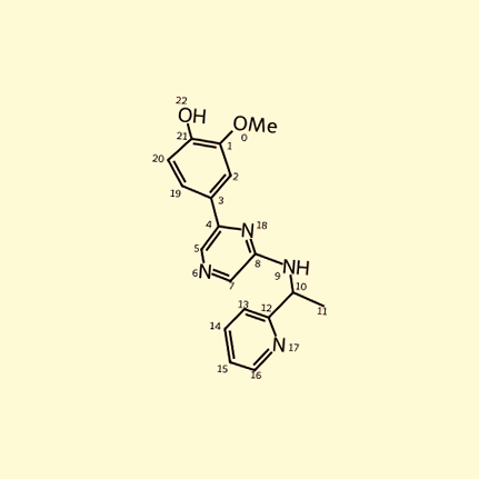 COc1cc(-c2cncc(NC(C)c3ccccn3)n2)ccc1O